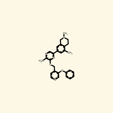 Cc1cc(-c2cnc(N)c(OCc3ccncc3Oc3ccccc3)n2)cc2c1CCN(C)C2